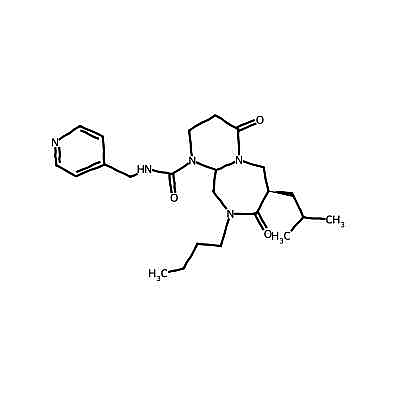 CCCCN1CC2N(C[C@@H](CC(C)C)C1=O)C(=O)CCN2C(=O)NCc1ccncc1